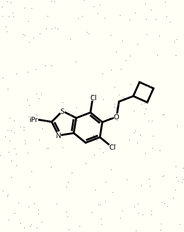 CC(C)c1nc2cc(Cl)c(OCC3CCC3)c(Cl)c2s1